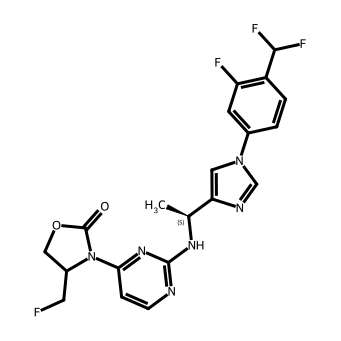 C[C@H](Nc1nccc(N2C(=O)OCC2CF)n1)c1cn(-c2ccc(C(F)F)c(F)c2)cn1